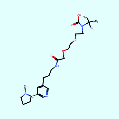 CN1CCC[C@H]1c1cncc(CCCNC(=O)COCCOCCN(C(=O)O)C(C)(C)C)c1